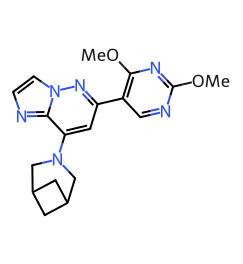 COc1ncc(-c2cc(N3CC4CC(C4)C3)c3nccn3n2)c(OC)n1